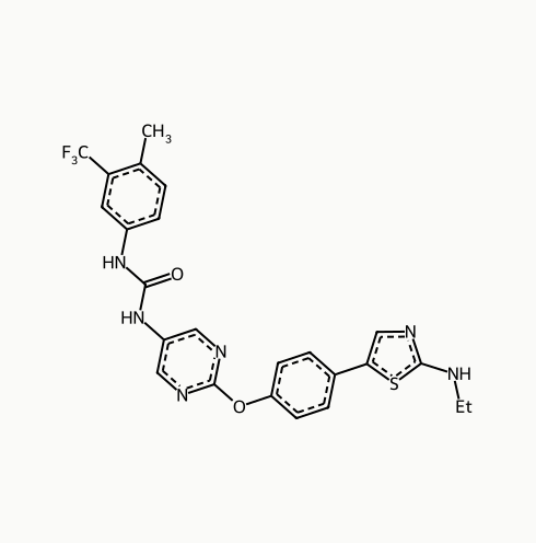 CCNc1ncc(-c2ccc(Oc3ncc(NC(=O)Nc4ccc(C)c(C(F)(F)F)c4)cn3)cc2)s1